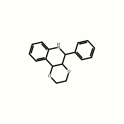 c1ccc(C2Nc3ccccc3C3OCCOC23)cc1